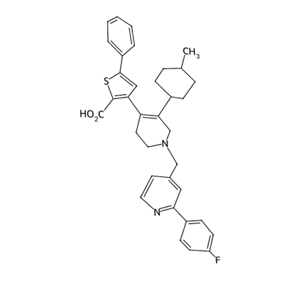 CC1CCC(C2=C(c3cc(-c4ccccc4)sc3C(=O)O)CCN(Cc3ccnc(-c4ccc(F)cc4)c3)C2)CC1